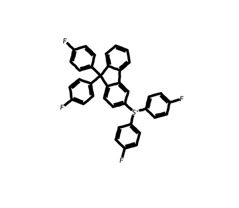 Fc1ccc([S+](c2ccc(F)cc2)c2ccc3c(c2)-c2ccccc2C3(c2ccc(F)cc2)c2ccc(F)cc2)cc1